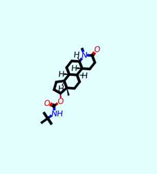 CN1C(=O)CC[C@@H]2[C@H]3CC[C@]4(C)[C@@H](OC(=O)NC(C)(C)C)CC[C@H]4[C@@H]3CC[C@H]21